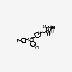 [2H]C1([2H])NC(=O)N(CCN2CCC(c3cn(-c4ccc(F)cc4)c4ccc(Cl)cc34)CC2)C1([2H])[2H]